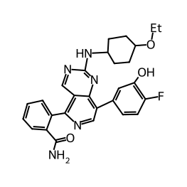 CCOC1CCC(Nc2ncc3c(-c4ccccc4C(N)=O)ncc(-c4ccc(F)c(O)c4)c3n2)CC1